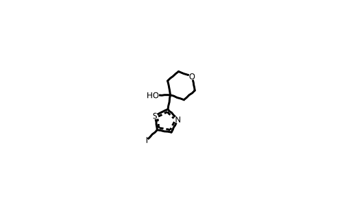 OC1(c2ncc(I)s2)CCOCC1